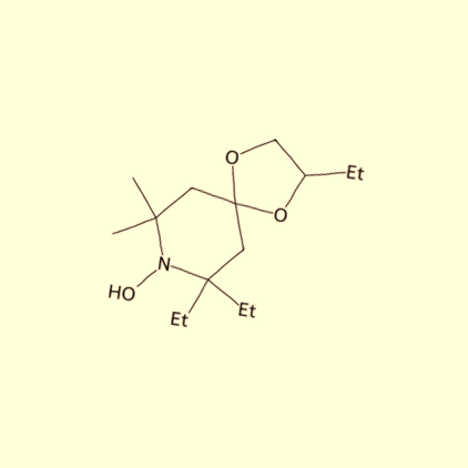 CCC1COC2(CC(C)(C)N(O)C(CC)(CC)C2)O1